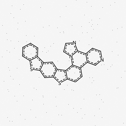 c1ccc2c(c1)sc1cc3sc4ccc5c6cnccc6c6nccn6c5c4c3cc12